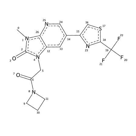 Cn1c(=O)n(CC(=O)N2CCC2)c2cc(-c3csc(C(F)(F)F)n3)cnc21